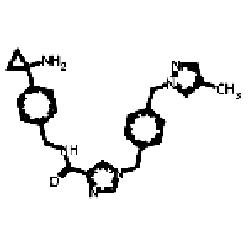 Cc1cnn(Cc2ccc(Cn3cnc(C(=O)NCc4ccc(C5(N)CC5)cc4)c3)cc2)c1